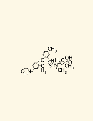 CCN(CCC(C)(C)C(=O)O)c1nc(-c2cc(C)ccc2OCc2ccc(CN3CCOCC3)cc2C)cs1